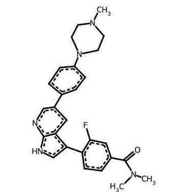 CN1CCN(c2ccc(-c3cnc4[nH]cc(-c5ccc(C(=O)N(C)C)cc5F)c4c3)cc2)CC1